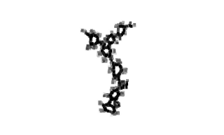 C=Cc1ccc(-c2ccc3c(c2)c2cc(-c4ccc(Nc5ccc6c(c5)oc5ccccc56)cc4)ccc2n3-c2ccc(C)cc2)cc1